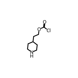 O=C(Cl)OCCC1CCNCC1